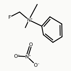 C[N+](C)(CF)c1ccccc1.O=[N+]([O-])[O-]